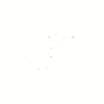 O=C(OCC(F)C(F)(F)S(=O)(=O)O)C1CCC2CC3OC(=O)C1C23